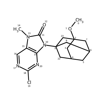 COC12CC3CC(C1)CC(n1c(=O)n(C)c4cnc(Cl)nc41)(C3)C2